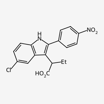 CCC(C(=O)O)c1c(-c2ccc([N+](=O)[O-])cc2)[nH]c2ccc(Cl)cc12